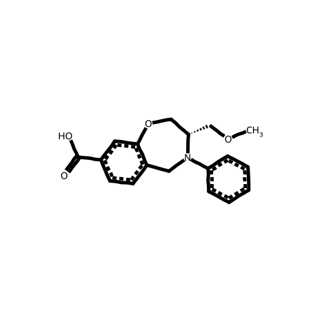 COC[C@H]1COc2cc(C(=O)O)ccc2CN1c1ccccc1